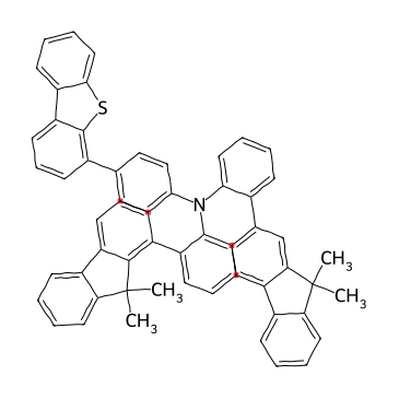 CC1(C)c2ccccc2-c2ccc(-c3ccccc3N(c3ccc(-c4cccc5c4sc4ccccc45)cc3)c3ccccc3-c3cccc4c3C(C)(C)c3ccccc3-4)cc21